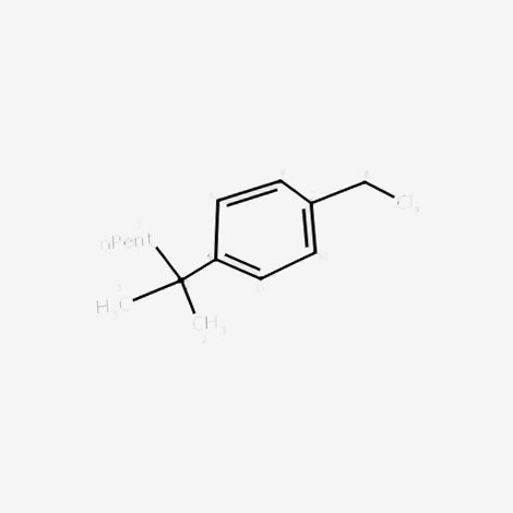 CCCCCC(C)(C)c1ccc(CCl)cc1